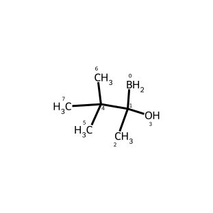 BC(C)(O)C(C)(C)C